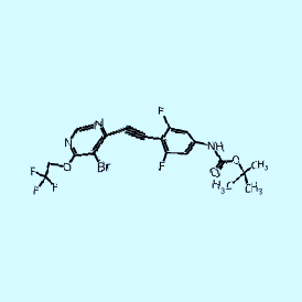 CC(C)(C)OC(=O)Nc1cc(F)c(C#Cc2ncnc(OCC(F)(F)F)c2Br)c(F)c1